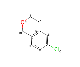 Clc1ccc2c(c1)CCOC2